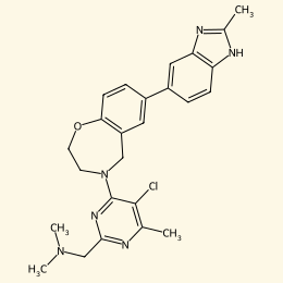 Cc1nc2cc(-c3ccc4c(c3)CN(c3nc(CN(C)C)nc(C)c3Cl)CCO4)ccc2[nH]1